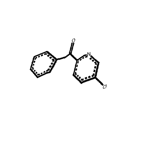 O=C(c1ccccc1)c1ccc(Cl)cn1